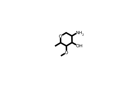 COC1C(C)OCC(N)C1O